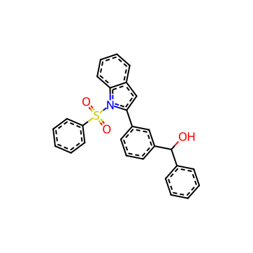 O=S(=O)(c1ccccc1)n1c(-c2cccc(C(O)c3ccccc3)c2)cc2ccccc21